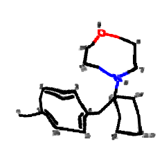 Cc1ccc(C2(N3CCOCC3)CCC2)cc1